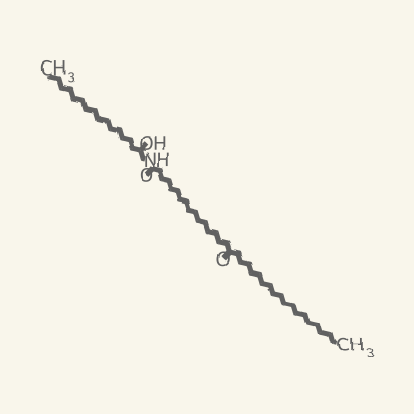 CCCCCCCCCCCCCCCCCCCC(=O)CCCCCCCCCCCCCCCC(=O)NCC(O)CCCCCCCCCCCCCCCC